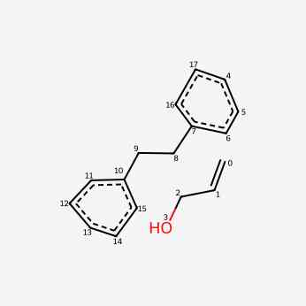 C=CCO.c1ccc(CCc2ccccc2)cc1